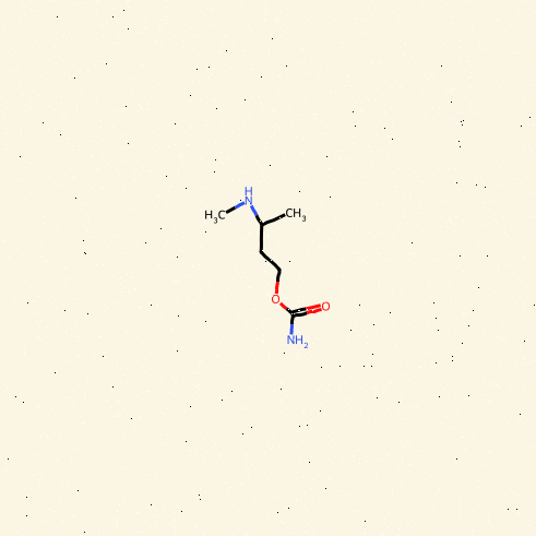 CNC(C)CCOC(N)=O